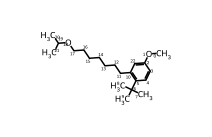 COc1ccc(C(C)(C)C)c(CCCCCCCOC(C)C)c1